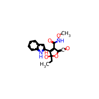 CCC1(O)OC(=C=O)C(C(=O)NOC)=C1c1cc2ccccc2[nH]1